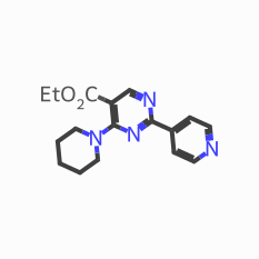 CCOC(=O)c1cnc(-c2ccncc2)nc1N1CCCCC1